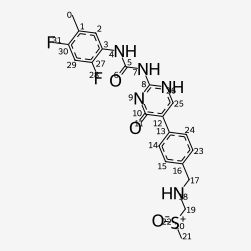 Cc1cc(NC(=O)Nc2nc(=O)c(-c3ccc(CNC[S+](C)[O-])cc3)c[nH]2)c(F)cc1F